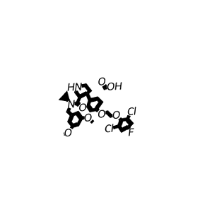 COc1cc(CN(C(=O)C2=C(c3ccc(OCCOc4c(Cl)cc(F)cc4Cl)cc3)CCNC2)C2CC2)cc(OC)c1.O=CO